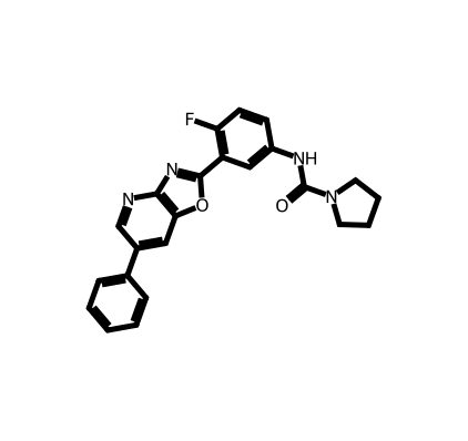 O=C(Nc1ccc(F)c(-c2nc3ncc(-c4ccccc4)cc3o2)c1)N1CCCC1